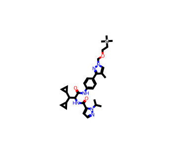 Cc1cn(COCC[Si](C)(C)C)nc1-c1ccc(NC(=O)C(NC(=O)c2ccnn2C(C)C)C(C2CC2)C2CC2)cc1